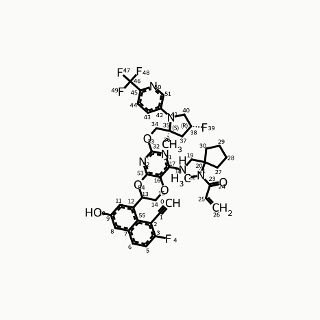 C#Cc1c(F)ccc2cc(O)cc(C3COc4c(NCC5(N(C)C(=O)C=C)CCCC5)nc(OC[C@]5(C)C[C@@H](F)CN5c5ccc(C(F)(F)F)nc5)nc4O3)c12